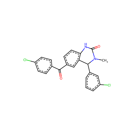 CN1C(=O)Nc2ccc(C(=O)c3ccc(Cl)cc3)cc2C1c1cccc(Cl)c1